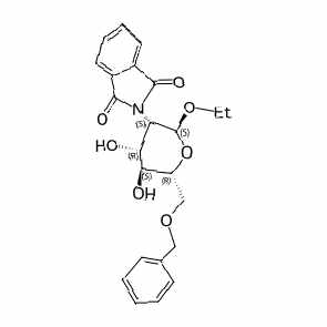 CCO[C@H]1O[C@H](COCc2ccccc2)[C@@H](O)[C@H](O)[C@@H]1N1C(=O)c2ccccc2C1=O